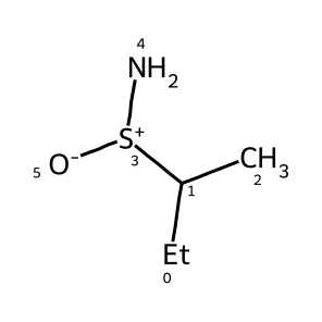 CCC(C)[S+](N)[O-]